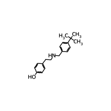 CC(C)(C)c1ccc(CNCCc2ccc(O)cc2)cc1